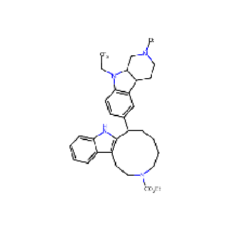 CCOC(=O)N1CCCCC(c2ccc3c(c2)C2CCN(CC)CC2N3CC(F)(F)F)c2[nH]c3ccccc3c2CC1